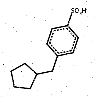 O=S(=O)(O)c1ccc(CC2CCCC2)cc1